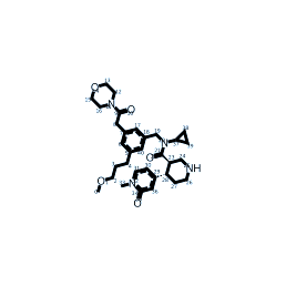 COCCCc1cc(CC(=O)N2CCOCC2)cc(CN(C(=O)[C@H]2CNCC[C@@H]2c2ccn(C)c(=O)c2)C2CC2)c1